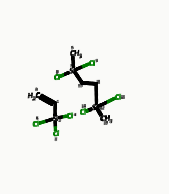 C=C[Si](Cl)(Cl)Cl.C[Si](Cl)(Cl)CC[Si](C)(Cl)Cl